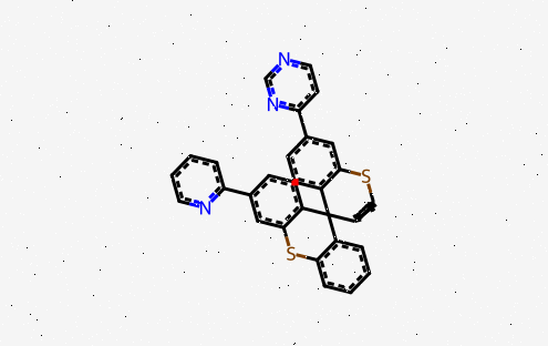 c1ccc(-c2ccc3c(c2)Sc2ccccc2C32c3ccccc3Sc3cc(-c4ccncn4)ccc32)nc1